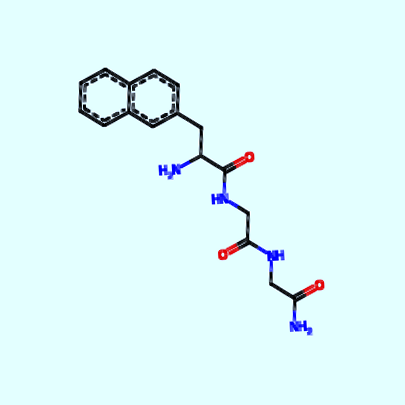 NC(=O)CNC(=O)CNC(=O)C(N)Cc1ccc2ccccc2c1